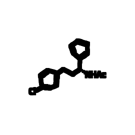 CC(=O)N[C@H](CCc1ccc(Cl)cc1)c1ccccc1